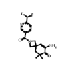 CC1(C)CC2(C=C(N)C1=O)CN(C(=O)c1ccc(C(F)F)nc1)C2